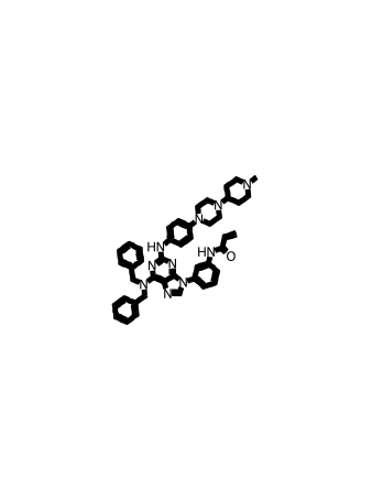 C=CC(=O)Nc1cccc(-n2cnc3c(N(Cc4ccccc4)Cc4ccccc4)nc(Nc4ccc(N5CCN(C6CCN(C)CC6)CC5)cc4)nc32)c1